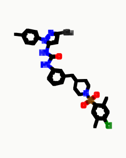 Cc1ccc(-n2nc(C(C)(C)C)cc2NC(=O)Nc2cccc(CC3CCN(S(=O)(=O)c4cc(C)c(Cl)cc4C)CC3)c2)cc1